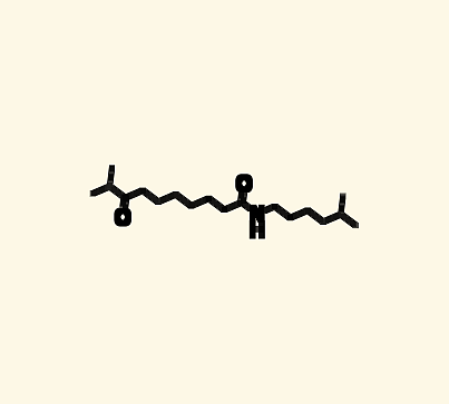 CC(C)CCCCNC(=O)CCCCCCC(=O)C(C)C